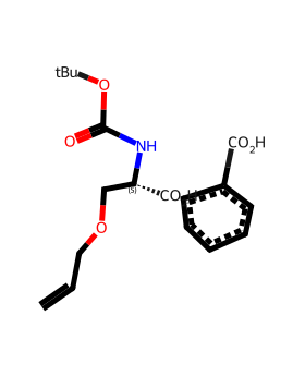 C=CCOC[C@H](NC(=O)OC(C)(C)C)C(=O)O.O=C(O)c1ccccc1